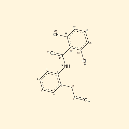 O=[C]Cc1ccccc1NC(=O)c1c(Cl)cccc1Cl